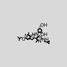 Cc1nc(OCC(C)C)cc2c1OC(c1c(C)nc(NCC3CC3)nc1N[C@@H]1C[C@H](CO)C[C@H]1O)C2